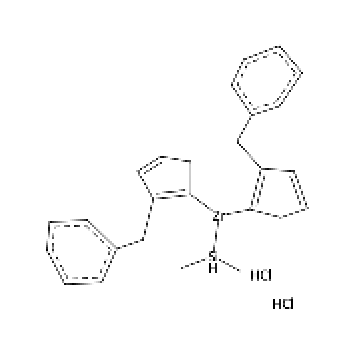 C[SiH](C)[Zr]([C]1=C(Cc2ccccc2)C=CC1)[C]1=C(Cc2ccccc2)C=CC1.Cl.Cl